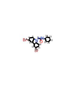 O=C(Cn1c2ccc(Br)cc2c2cc(Br)ccc21)Nc1ccccc1